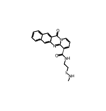 CNSCCNC(=O)c1cccn2c(=O)c3cc4ccccc4cc3nc12